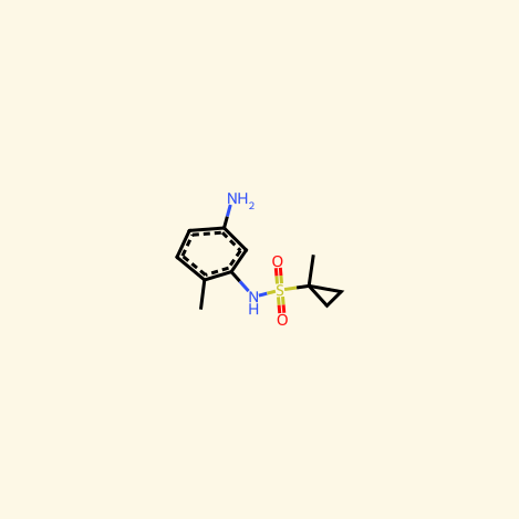 Cc1ccc(N)cc1NS(=O)(=O)C1(C)CC1